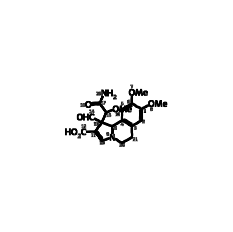 COc1cc2c(cc1OC)C1N(C=C(C(=O)O)C1(C=O)C(OC)C(N)=O)CC2